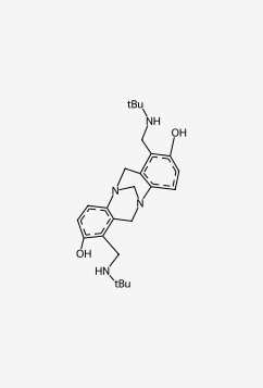 CC(C)(C)NCc1c(O)ccc2c1CN1CN2Cc2c1ccc(O)c2CNC(C)(C)C